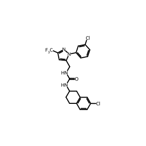 O=C(NCc1cc(C(F)(F)F)nn1-c1cccc(Cl)c1)NC1CCc2ccc(Cl)cc2C1